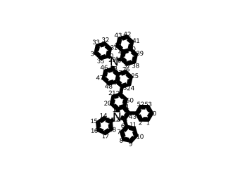 c1ccc(-c2c(-c3ccccc3)n(-c3ccccc3)c3ccc(-c4cccc5c(N(c6ccccc6)c6cccc7ccccc67)cccc45)cc23)cc1